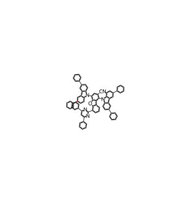 N#Cc1cc(-n2c3ccc(-c4ccccc4)cc3c3cc(-c4ccccc4)ccc32)c2oc3c(-c4nc(-c5ccccc5)cc(-c5ccccc5)n4)cccc3c2c1-n1c2ccc(-c3ccccc3)cc2c2cc(-c3ccccc3)ccc21